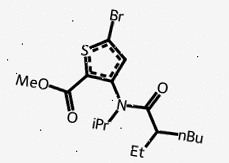 CCCCC(CC)C(=O)N(c1cc(Br)sc1C(=O)OC)C(C)C